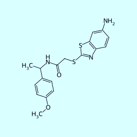 COc1ccc(C(C)NC(=O)CSc2nc3ccc(N)cc3s2)cc1